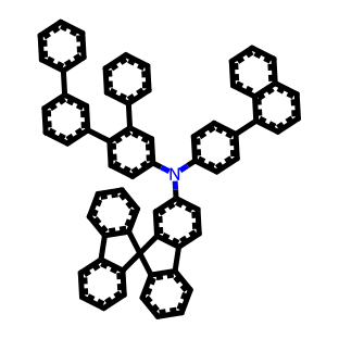 c1ccc(-c2cccc(-c3ccc(N(c4ccc(-c5cccc6ccccc56)cc4)c4ccc5c(c4)C4(c6ccccc6-c6ccccc64)c4ccccc4-5)cc3-c3ccccc3)c2)cc1